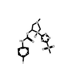 CN1CC(OC(=O)Nc2ccc(I)cc2)[N+]([O-])(c2nnc(S(C)(=O)=O)s2)C1